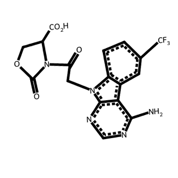 Nc1ncnc2c1c1cc(C(F)(F)F)ccc1n2CC(=O)N1C(=O)OCC1C(=O)O